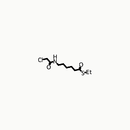 CCSC(=O)CCCCCNC(=O)CCl